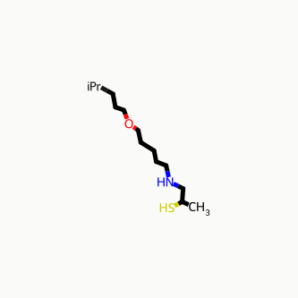 CC(C)CCCOCCCCCNCC(C)S